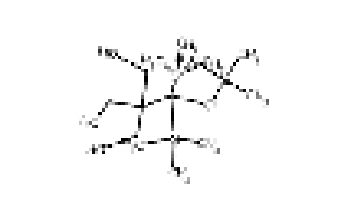 C[Si](C)(C)OC(C(CO)(CO)CO)([Si](C)(C)C)[Si](C)(C)C